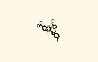 COC[C@H]1CCCN1c1nc2cc(C(=O)OC)ccc2nc1-c1cc2cc(F)ccc2o1